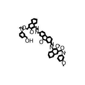 COc1cccc(N(C)C(=O)c2cc3ccccc3c(N=Nc3ccc4c(c3)C(=O)c3cc(N=Nc5c(OC)c(CON(C)c6cccc(CO)c6)cc6ccccc56)ccc3-4)c2OC)c1